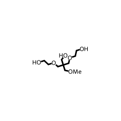 COCC(CO)(COCCO)COCCO